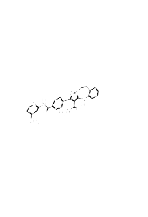 Cc1ccnc(NC(=O)c2ccc(-c3nn4c(c3C(N)=O)Nc3ccccc3CC4)cc2)c1